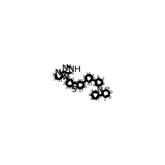 C1=Cc2c(n(-c3cccc(-c4cccc(-c5ccc6sc7ccc(-n8c9c(c%10ncccc%108)N=CNC9)cc7c6c5)c4)c3)c3ccccc23)CC1